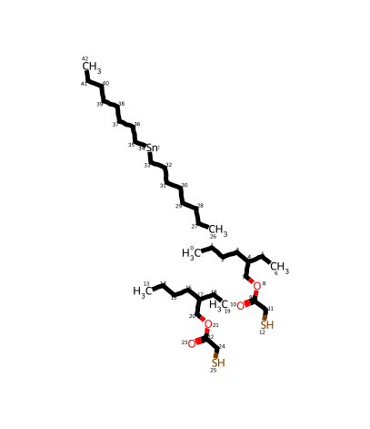 CCCCC(CC)COC(=O)CS.CCCCC(CC)COC(=O)CS.CCCCCCC[CH2][Sn][CH2]CCCCCCC